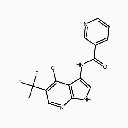 O=C(Nc1c[nH]c2ncc(C(F)(F)F)c(Cl)c12)c1cccnc1